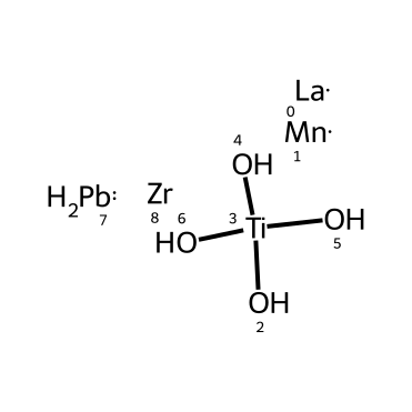 [La].[Mn].[OH][Ti]([OH])([OH])[OH].[PbH2].[Zr]